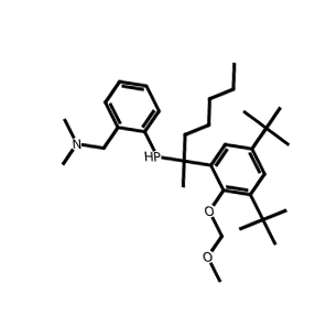 CCCCCC(C)(Pc1ccccc1CN(C)C)c1cc(C(C)(C)C)cc(C(C)(C)C)c1OCOC